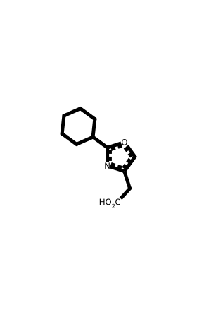 O=C(O)Cc1coc(C2CCCCC2)n1